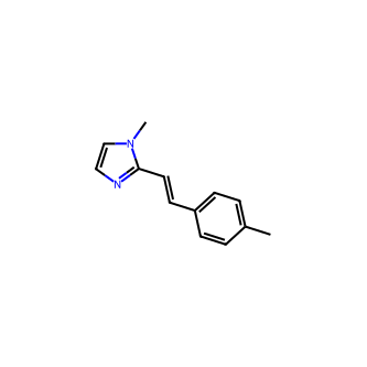 Cc1ccc(C=Cc2nccn2C)cc1